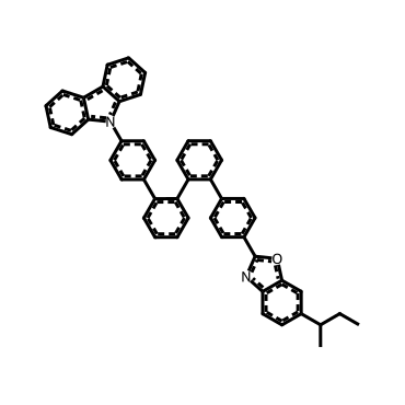 CCC(C)c1ccc2nc(-c3ccc(-c4ccccc4-c4ccccc4-c4ccc(-n5c6ccccc6c6ccccc65)cc4)cc3)oc2c1